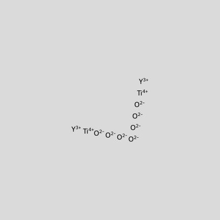 [O-2].[O-2].[O-2].[O-2].[O-2].[O-2].[O-2].[Ti+4].[Ti+4].[Y+3].[Y+3]